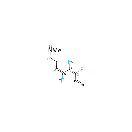 C=C/C(F)=C(F)\C(F)=C/CCNC